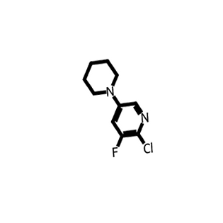 Fc1cc(N2CCCCC2)cnc1Cl